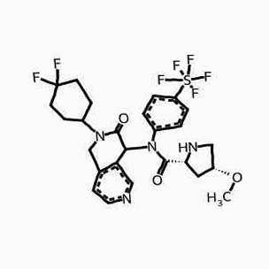 CO[C@H]1CN[C@@H](C(=O)N(c2ccc(S(F)(F)(F)(F)F)cc2)C2C(=O)N(C3CCC(F)(F)CC3)Cc3ccncc32)C1